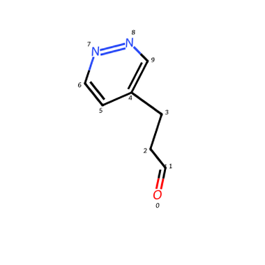 O=[C]CCc1ccnnc1